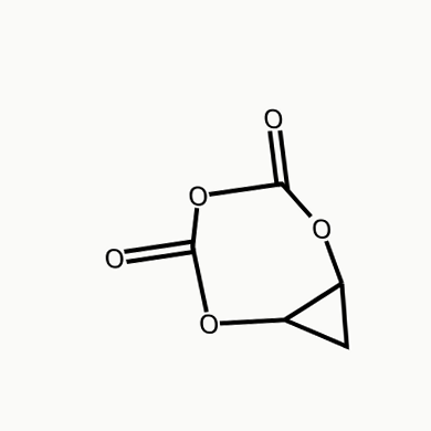 O=C1OC(=O)OC2CC2O1